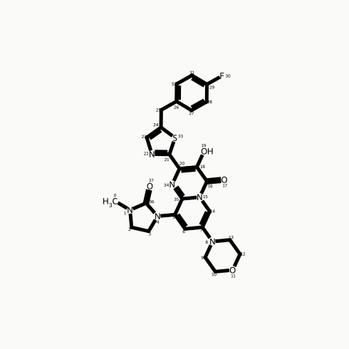 CN1CCN(c2cc(N3CCOCC3)cn3c(=O)c(O)c(-c4ncc(Cc5ccc(F)cc5)s4)nc23)C1=O